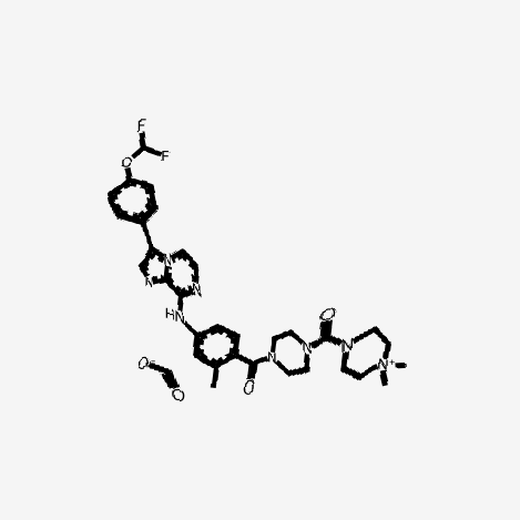 Cc1cc(Nc2nccn3c(-c4ccc(OC(F)F)cc4)cnc23)ccc1C(=O)N1CCN(C(=O)N2CC[N+](C)(C)CC2)CC1.O=C[O-]